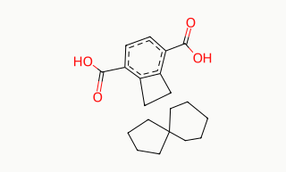 C1CCC2(CC1)CCCC2.O=C(O)c1ccc(C(=O)O)c2c1CC2